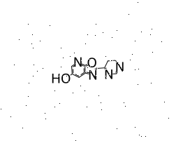 Oc1cnc2oc(C3=NC=NCC3)nc2c1